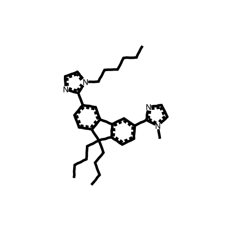 CCCCCCn1ccnc1-c1ccc2c(c1)-c1cc(-c3nccn3C)ccc1C2(CCCC)CCCC